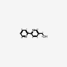 OCc1ccc(-c2ccccn2)nc1